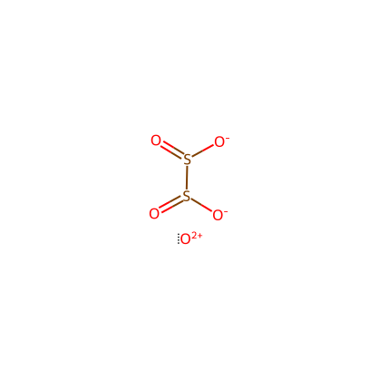 O=S([O-])S(=O)[O-].[O+2]